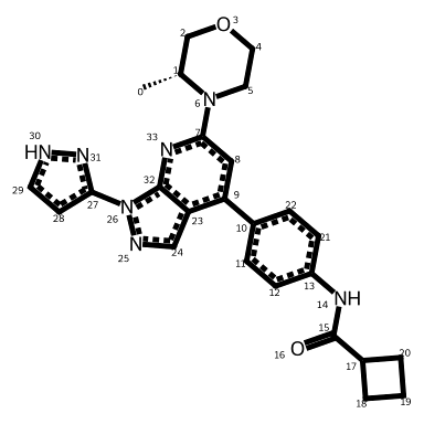 C[C@@H]1COCCN1c1cc(-c2ccc(NC(=O)C3CCC3)cc2)c2cnn(-c3cc[nH]n3)c2n1